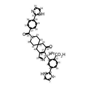 CC(C)[N+]1(c2cc(-c3ncc[nH]3)ccc2C(=O)O)N=CC2=C1C(=O)CC1(CCN(C(=O)c3ccc(-c4ncc[nH]4)cc3)CC1)C2